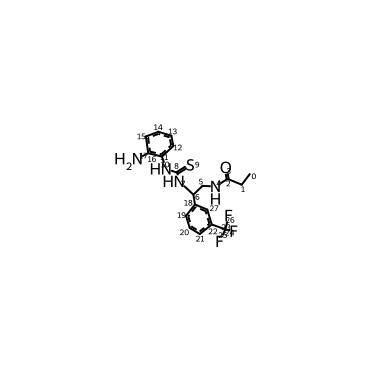 CCC(=O)NCC(NC(=S)Nc1ccccc1N)c1cccc(C(F)(F)F)c1